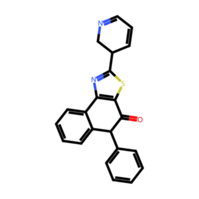 O=C1c2sc(C3C=CC=NC3)nc2-c2ccccc2C1c1ccccc1